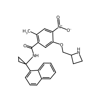 Cc1cc([N+](=O)[O-])c(OCC2CCN2)cc1C(=O)NC1(c2cccc3ccccc23)CC1